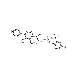 Cc1c(-c2ccncc2)nnc(N2CCC(NCc3ccc(F)cc3C(F)(F)F)CC2)c1C